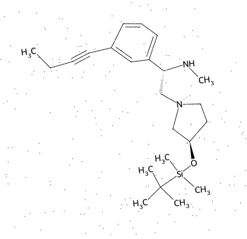 CCC#Cc1cccc([C@@H](CN2CC[C@@H](O[Si](C)(C)C(C)(C)C)C2)NC)c1